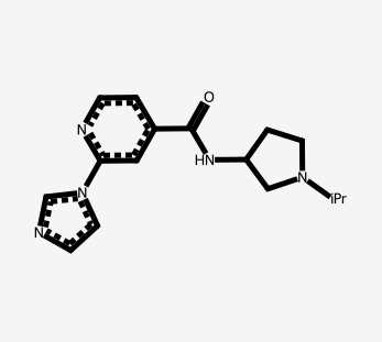 CC(C)N1CCC(NC(=O)c2ccnc(-n3ccnc3)c2)C1